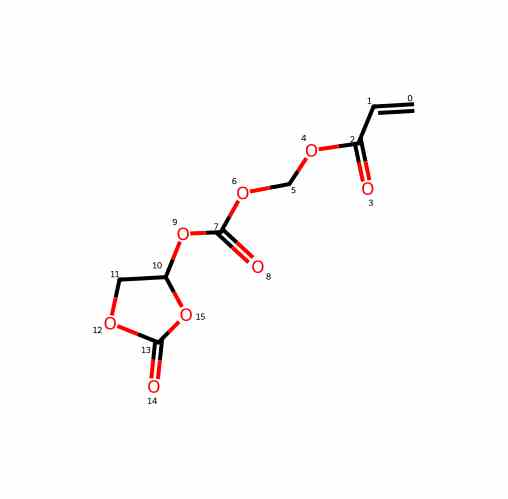 C=CC(=O)OCOC(=O)OC1COC(=O)O1